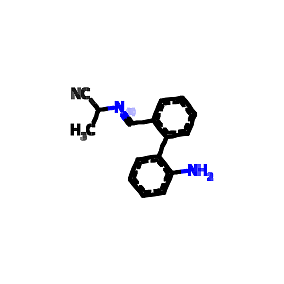 CC(C#N)/N=C/c1ccccc1-c1ccccc1N